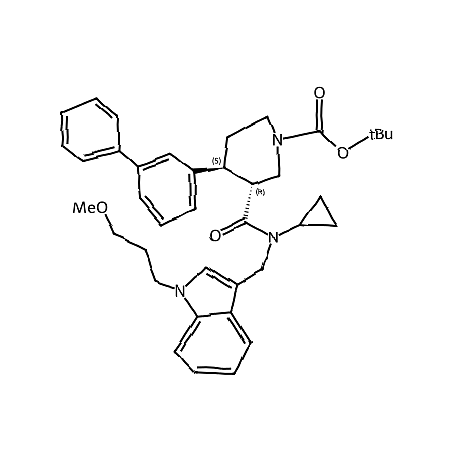 COCCCn1cc(CN(C(=O)[C@H]2CN(C(=O)OC(C)(C)C)CC[C@@H]2c2cccc(-c3ccccc3)c2)C2CC2)c2ccccc21